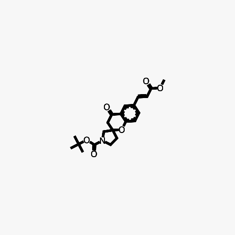 COC(=O)/C=C/c1ccc2c(c1)C(=O)CC1(CCN(C(=O)OC(C)(C)C)C1)O2